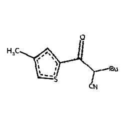 CCC(C)C(C#N)C(=O)c1cc(C)cs1